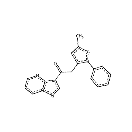 Cc1cc(CC(=O)c2cnn3cccnc23)n(-c2ccccc2)n1